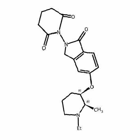 CCN1CCC[C@@H](Oc2ccc3c(c2)CN(N2C(=O)CCCC2=O)C3=O)[C@H]1C